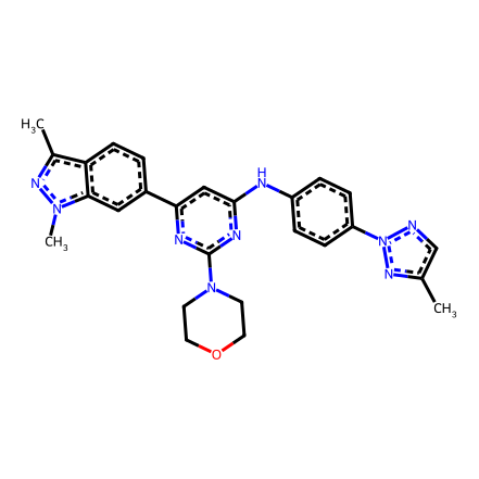 Cc1cnn(-c2ccc(Nc3cc(-c4ccc5c(C)nn(C)c5c4)nc(N4CCOCC4)n3)cc2)n1